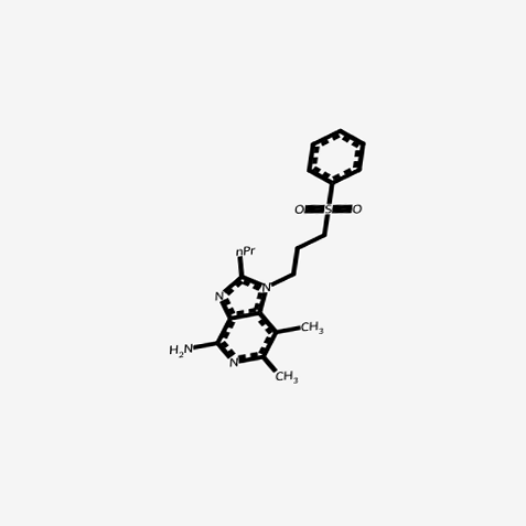 CCCc1nc2c(N)nc(C)c(C)c2n1CCCS(=O)(=O)c1ccccc1